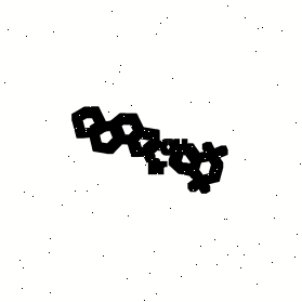 CC1(C)C=CC(C)(C)c2ccccc21.Oc1cc2ccc3c(c2cc1Br)CCC1=C3C=CCC1